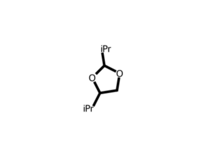 CC(C)C1COC(C(C)C)O1